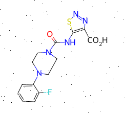 O=C(O)c1nnsc1NC(=O)N1CCN(c2ccccc2F)CC1